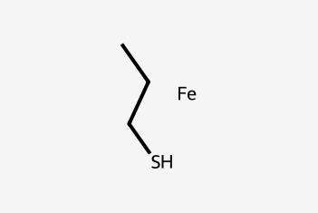 CCCS.[Fe]